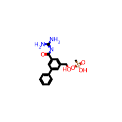 CS(=O)(=O)O.NC(N)=NC(=O)c1cc(CO)cc(-c2ccccc2)c1